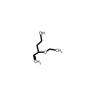 C=CC(CCO)OCC